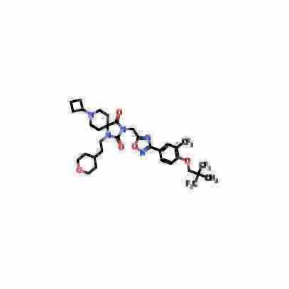 CC(COc1ccc(-c2noc(CN3C(=O)N(CCC4CCOCC4)C4(CCN(C5CCC5)CC4)C3=O)n2)cc1C(F)(F)F)(C(F)(F)F)C(F)(F)F